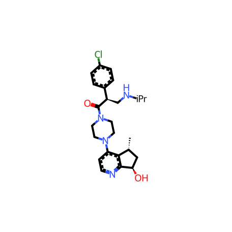 CC(C)NC[C@@H](C(=O)N1CCN(c2ccnc3c2[C@H](C)C[C@H]3O)CC1)c1ccc(Cl)cc1